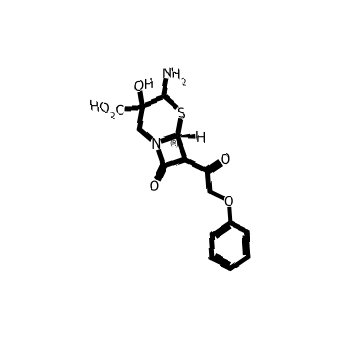 NC1S[C@@H]2C(C(=O)COc3ccccc3)C(=O)N2CC1(O)C(=O)O